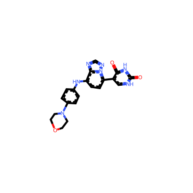 O=c1[nH]cc(-c2ccc(Nc3ccc(N4CCOCC4)cc3)c3ncnn23)c(=O)[nH]1